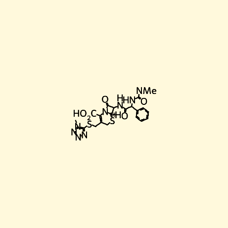 CNC(=O)NC(C(=O)NC1C(=O)N2C(C(=O)O)=C(CSc3nnnn3C)CS[C@@H]12)c1ccccc1